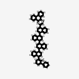 c1ccc2c(c1)sc1c(-c3ccc(-c4ccc(-c5ccc(-c6ccc(-c7cnc8c9ccccc9c9ccccc9c8n7)c7ccccc67)c6ccccc56)c5ccccc45)c4ccccc34)cccc12